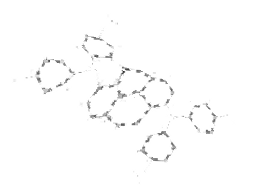 CC(C)(C)c1ccc(N(c2ccc(C#N)cc2)c2ccc3ccc4c(N(c5ccc(F)cc5)c5ccc(C#N)cc5)ccc5ccc2c3c54)cc1